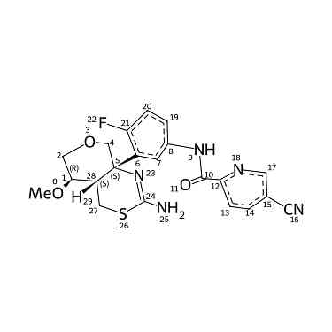 CO[C@H]1COC[C@]2(c3cc(NC(=O)c4ccc(C#N)cn4)ccc3F)N=C(N)SC[C@H]12